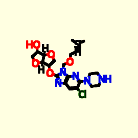 C[SiH](C)CCOCn1c(O[C@@H]2CO[C@H]3[C@@H]2OC[C@H]3O)nc2cc(Cl)c(N3CCNCC3)nc21